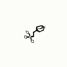 Cl[Si](Cl)(Cl)CCC12CCN(CC1)CC2